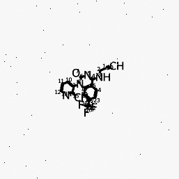 C#CCNc1nc(=O)n(-c2cccnc2C)c2cc(C(F)(F)F)ccc12